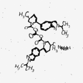 CC(C)n1cc2cc(C3=CC[C@H](C)CN3C(=O)OC(=O)OC(=O)N3C[C@@H](C)CC=C3c3ccc4nn(C(C)C)cc4c3)ccc2n1.[NaH].[NaH]